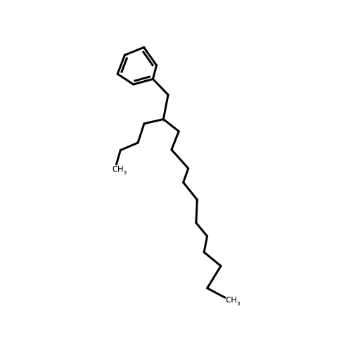 CCCCCCCCCCC[C](CCCC)Cc1ccccc1